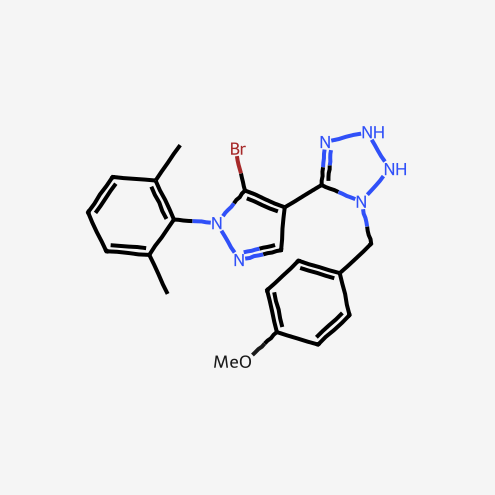 COc1ccc(CN2NNN=C2c2cnn(-c3c(C)cccc3C)c2Br)cc1